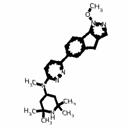 COn1ncc2c1-c1ccc(-c3ccc(N(C)C4CC(C)(C)NC(C)(C)C4)nn3)cc1C2